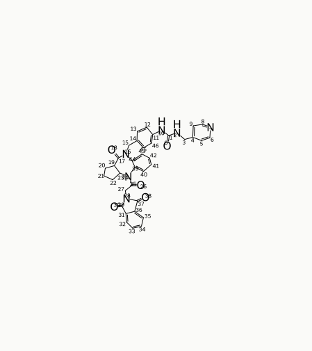 O=C(NCc1ccncc1)Nc1ccc(CN2C(=O)C3CCCC3N(C(=O)CN3C(=O)c4ccccc4C3=O)c3ccccc32)cc1